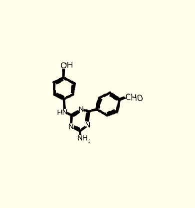 Nc1nc(Nc2ccc(O)cc2)nc(-c2ccc(C=O)cc2)n1